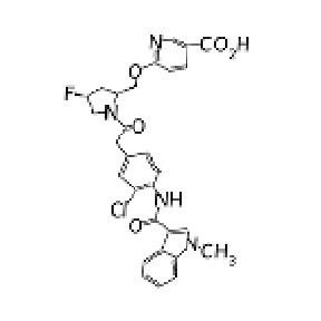 Cn1cc(C(=O)Nc2ccc(CC(=O)N3C[C@@H](F)C[C@H]3COc3ccc(C(=O)O)cn3)cc2Cl)c2ccccc21